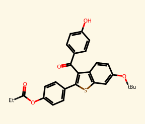 CCC(=O)Oc1ccc(-c2sc3cc(OC(C)(C)C)ccc3c2C(=O)c2ccc(O)cc2)cc1